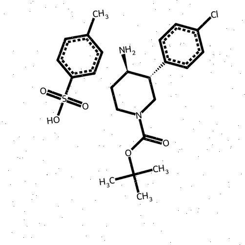 CC(C)(C)OC(=O)N1CC[C@@H](N)[C@H](c2ccc(Cl)cc2)C1.Cc1ccc(S(=O)(=O)O)cc1